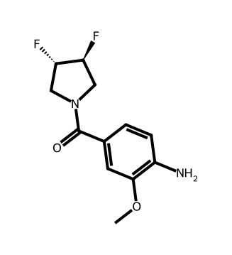 COc1cc(C(=O)N2C[C@H](F)[C@@H](F)C2)ccc1N